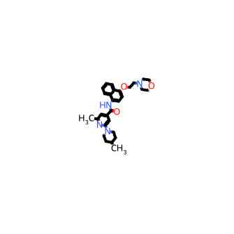 Cc1cc(C(=O)Nc2ccc(OCCN3CCOCC3)c3ccccc23)cc(N2CCC(C)CC2)n1